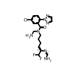 N/C=N\C(=C/CCCN(CN)C(=O)c1cc(Cl)ccc1-n1nccn1)C(F)F